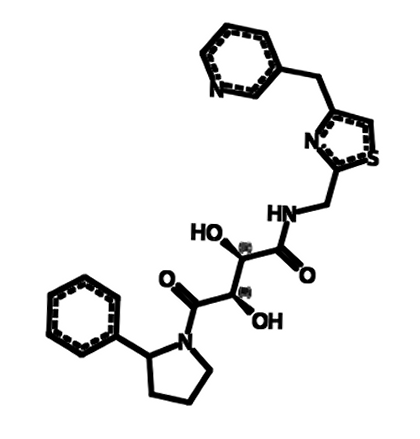 O=C(NCc1nc(Cc2cccnc2)cs1)[C@H](O)[C@@H](O)C(=O)N1CCCC1c1ccccc1